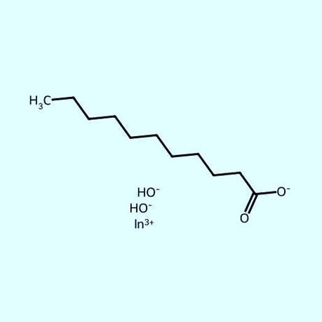 CCCCCCCCCCC(=O)[O-].[In+3].[OH-].[OH-]